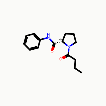 CCCC(=O)N1CCC[C@H]1C(=O)Nc1ccccc1